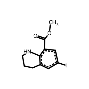 COC(=O)c1cc(I)cc2c1NCCC2